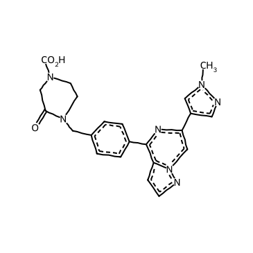 Cn1cc(-c2cn3nccc3c(-c3ccc(CN4CCN(C(=O)O)CC4=O)cc3)n2)cn1